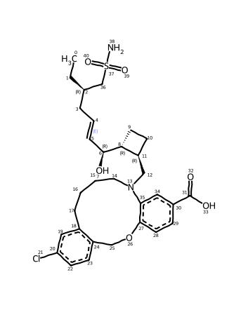 CC[C@H](C/C=C/[C@H](O)[C@@H]1CC[C@H]1CN1CCCCc2cc(Cl)ccc2COc2ccc(C(=O)O)cc21)CS(N)(=O)=O